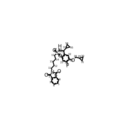 O=C1c2ccccc2C(=O)N1CCCCCS(=O)(=O)NC(c1ccc(F)c(OCC2CC2)c1)C1CC1